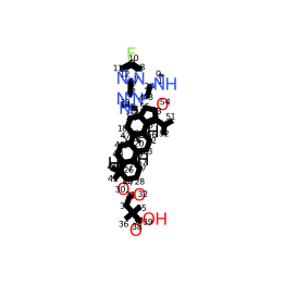 CNCCn1c(-c2ncc(F)cn2)nnc1[C@@]12CC[C@]3(C)[C@H](CC[C@@H]4[C@@]5(C)CC[C@H](OC(=O)CC(C)(C)C(=O)O)C(C)(C)[C@@H]5CC[C@]43C)C1=C(C(C)C)C(=O)C2